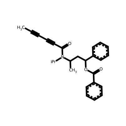 CC#CC#CC(=O)N(C(C)C)C(C)CC(OC(=O)c1ccccc1)c1ccccc1